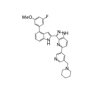 COc1cc(F)cc(-c2cccc3[nH]c(-c4n[nH]c5ccc(-c6cncc(CN7CCCCC7)c6)nc45)cc23)c1